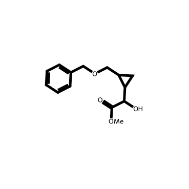 COC(=O)C(O)C1CC1COCc1ccccc1